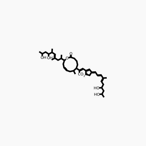 CC(C=CC=C1C=C(C=C(C(=O)O)C2CCCC(=O)OC(C(C)CC(C)=CC(C)C(O)CC(C)O)CC=CCC2C)CC1)=CCC(O)CC(C)O